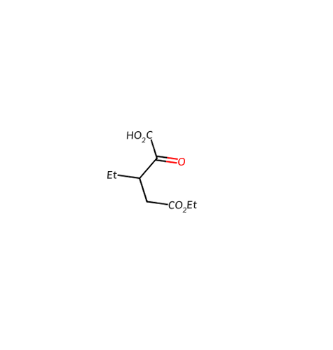 CCOC(=O)CC(CC)C(=O)C(=O)O